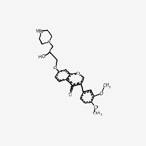 COc1ccc(-c2coc3cc(OCC(O)CN4CCNCC4)ccc3c2=O)cc1OC